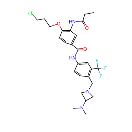 CCC(=O)Nc1cc(C(=O)Nc2ccc(CN3CC(N(C)C)C3)c(C(F)(F)F)c2)ccc1OCCCCl